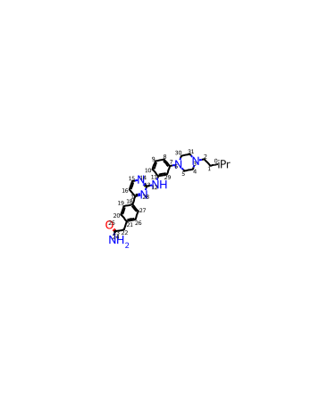 CC(C)CCN1CCN(c2cccc(Nc3nccc(-c4ccc(CC(N)=O)cc4)n3)c2)CC1